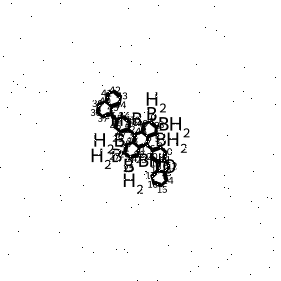 Bc1c(B)c(B)c2c(-c3ccc4oc5ccccc5c4c3)c3c(B)c(B)c(B)c(B)c3c(-c3ccc(-c4cccc5ccccc45)cc3)c2c1B